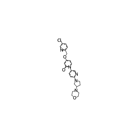 O=c1cc(OCc2ccc(Cl)cn2)ccn1-c1ccc(N2CCC(N3CCOCC3)C2)nc1